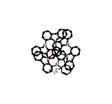 CC12C=CC=CC1c1ccccc1N2c1cccc2c3ccccc3n(-c3cc(-n4c5ccccc5c5cccc(-n6c7ccccc7c7ccccc76)c54)cc(-n4c5ccccc5c5cccc(-n6c7ccccc7c7ccccc76)c54)c3)c12